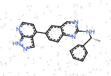 C[C@@H](Nc1ncc2cc(-c3ccnc4[nH]ncc34)ccc2n1)c1ccccc1